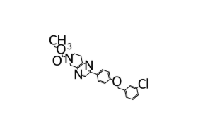 CCOC(=O)N1CCc2nc(-c3ccc(OCc4cccc(Cl)c4)cc3)cnc2C1